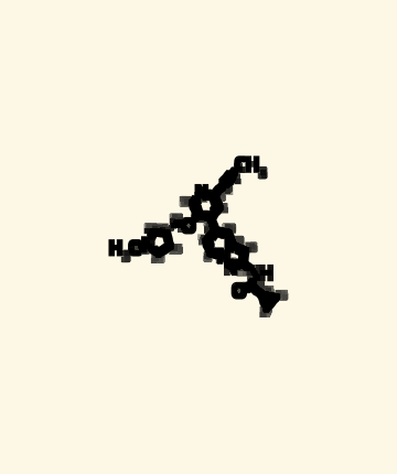 CC#Cc1cc(-c2ccn3nc(NC(=O)C4CC4)cc3c2)c(OC[C@@H]2CCN(C)C2)cn1